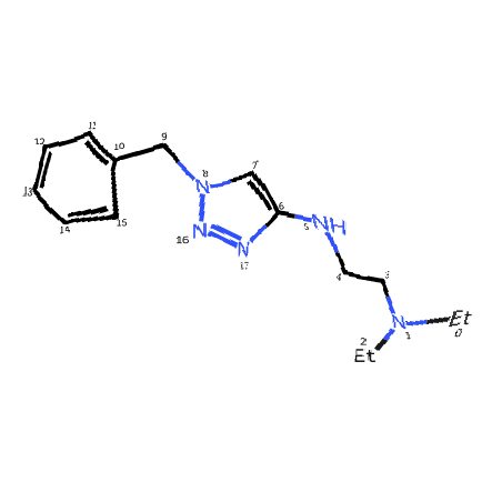 CCN(CC)CCNc1cn(Cc2ccccc2)nn1